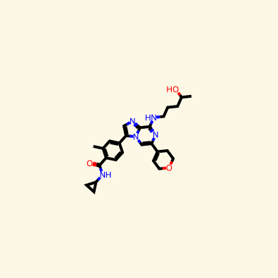 Cc1cc(-c2cnc3c(NCCCC(C)O)nc(C4=CCOCC4)cn23)ccc1C(=O)NC1CC1